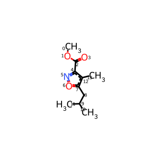 COC(=O)c1noc(CC(C)C)c1C